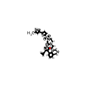 Cc1cc(-c2ccc(S(=O)(=O)N3CCN(C[C@H](C)N4CN=Cc5cccc(-c6cn(C)nc6C6CC6)c54)CC3)s2)on1